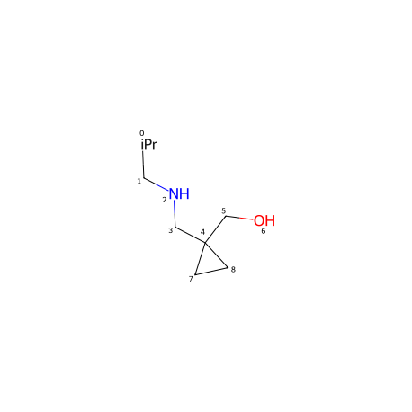 CC(C)CNCC1(CO)CC1